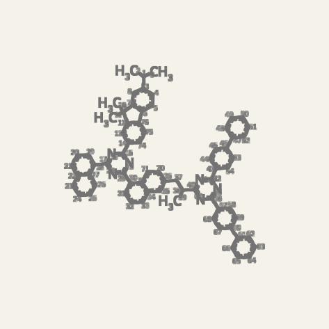 CC(C)c1ccc2c(c1)C(C)(C)c1cc(-c3nc(-c4cccc5ccccc45)nc(-c4cccc5cc(CC(C)c6nc(-c7ccc(-c8ccccc8)cc7)nc(-c7ccc(-c8ccccc8)cc7)n6)ccc45)n3)ccc1-2